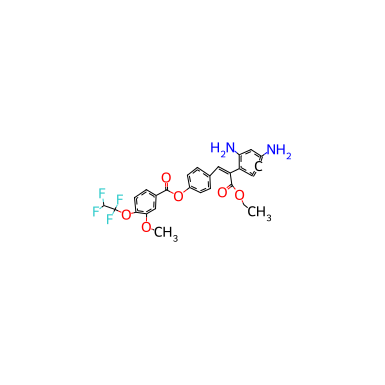 CCOC(=O)C(=Cc1ccc(OC(=O)c2ccc(OC(F)(F)C(F)F)c(OC)c2)cc1)c1ccc(N)cc1N